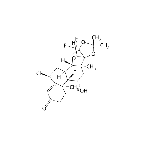 CC1(C)O[C@@H]2C[C@H]3[C@@H]4C[C@H](Cl)C5=CC(=O)CC[C@]5(C)[C@@]4(F)[C@@H](O)C[C@]3(C)[C@]2(C(=O)C(F)F)O1